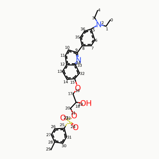 CCN(CC)c1ccc(-c2ccc3ccc(OCC(O)COS(=O)(=O)c4ccc(C)cc4)cc3n2)cc1